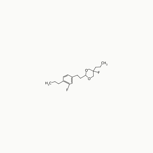 CCCc1ccc(CCC2OCC(F)(CCC)CO2)cc1F